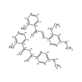 COc1ccc(/C=C/C(=O)c2ccccc2O)c(OC)c1.COc1ccc(C(=O)CC(=O)c2ccccc2O)cc1